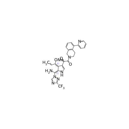 C=C/C(OC)=c1/c(C(=O)C(=O)N2CCc3c(cccc3-c3ccccn3)C2)c[nH]/c1=C(/N)n1cnc(C(F)(F)F)n1